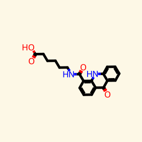 O=C(O)CCCCCNC(=O)c1cccc2c(=O)c3ccccc3[nH]c12